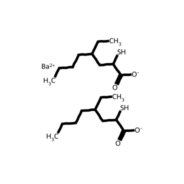 CCCCC(CC)CC(S)C(=O)[O-].CCCCC(CC)CC(S)C(=O)[O-].[Ba+2]